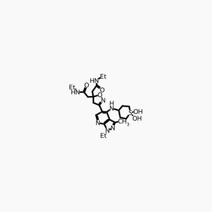 CCNC(=O)CC1(CC(=O)NCC)CC(c2cnc3c(c(C)nn3CC)c2NC2CCS(O)(O)CC2)=NO1